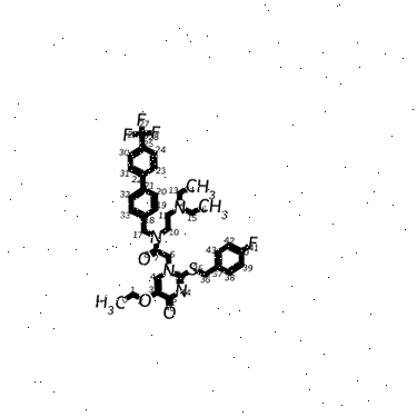 CCOc1cn(CC(=O)N(CCN(CC)CC)Cc2ccc(-c3ccc(C(F)(F)F)cc3)cc2)c(SCc2ccc(F)cc2)nc1=O